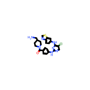 NCC1CCN(C(=O)c2ccc(Nc3ncc(Cl)c(Nc4ccc5ncsc5c4)n3)cc2)CC1